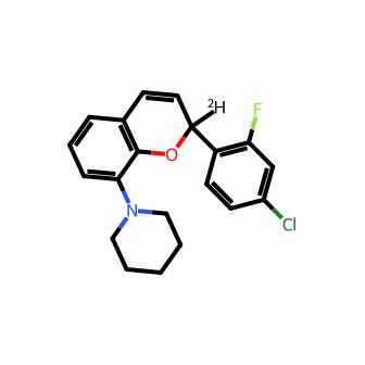 [2H]C1(c2ccc(Cl)cc2F)C=Cc2cccc(N3CCCCC3)c2O1